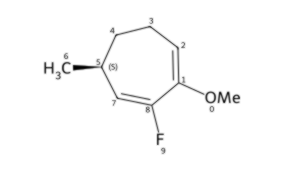 COC1=CCC[C@H](C)C=C1F